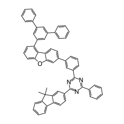 CC1(C)c2ccccc2-c2ccc(-c3nc(-c4ccccc4)nc(-c4cccc(-c5ccc6c(c5)oc5cccc(-c7cc(-c8ccccc8)cc(-c8ccccc8)c7)c56)c4)n3)cc21